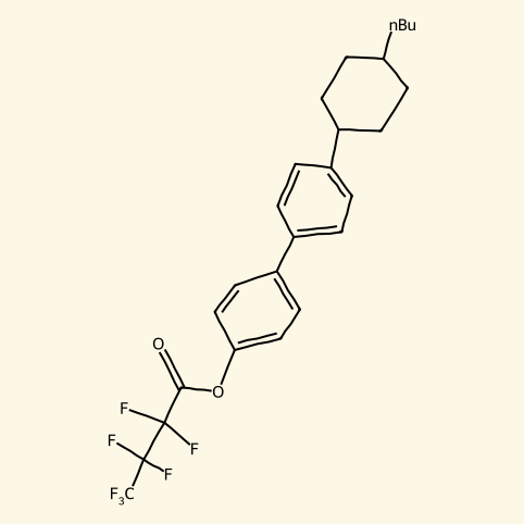 CCCCC1CCC(c2ccc(-c3ccc(OC(=O)C(F)(F)C(F)(F)C(F)(F)F)cc3)cc2)CC1